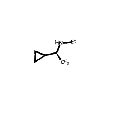 CCN[C@H](C1CC1)C(F)(F)F